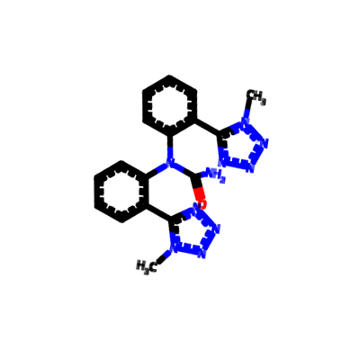 Cn1nnnc1-c1ccccc1N(C(N)=O)c1ccccc1-c1nnnn1C